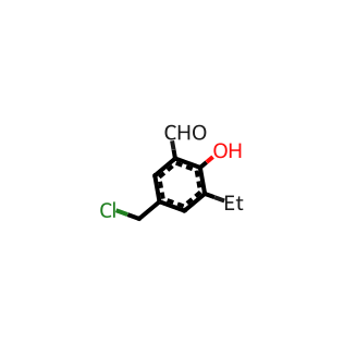 CCc1cc(CCl)cc(C=O)c1O